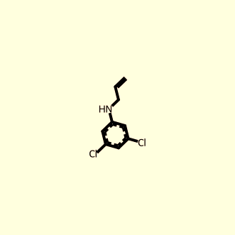 C=CCNc1cc(Cl)cc(Cl)c1